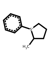 CC1CCC[S+]1c1ccccc1